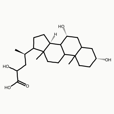 C[C@H](CC(O)C(=O)O)C1CC[C@H]2C3C(CCC12C)C1(C)CC[C@@H](O)CC1C[C@H]3O